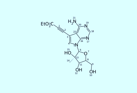 CCOC(=O)C#Cc1cn(C2OC(CO)C(O)[C@@]2(C)O)c2ncnc(N)c12